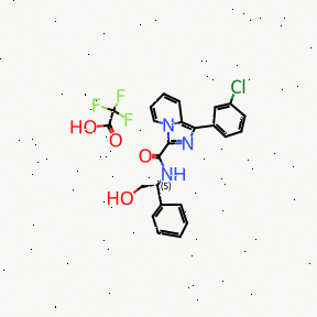 O=C(N[C@H](CO)c1ccccc1)c1nc(-c2cccc(Cl)c2)c2ccccn12.O=C(O)C(F)(F)F